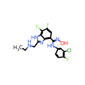 CCNCc1nc2c(/C(=N/O)Nc3ccc(F)c(Cl)c3)cc(F)c(F)c2[nH]1